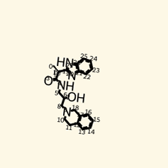 C[C@H](C(=O)NCC(O)CN1CCc2ccccc2C1)c1nc2ccccc2[nH]1